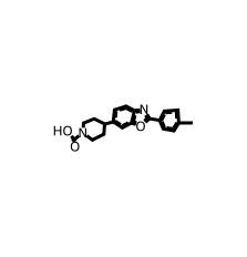 Cc1ccc(-c2nc3ccc(C4CCN(C(=O)O)CC4)cc3o2)cc1